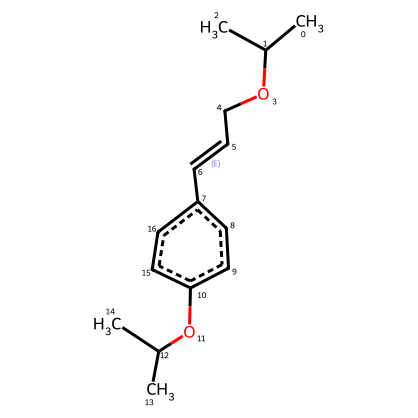 CC(C)OC/C=C/c1ccc(OC(C)C)cc1